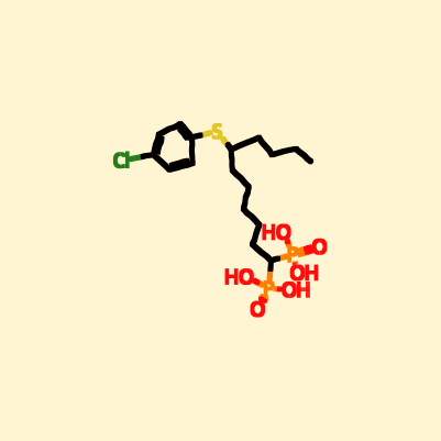 CCCCC(CCCCCC(P(=O)(O)O)P(=O)(O)O)Sc1ccc(Cl)cc1